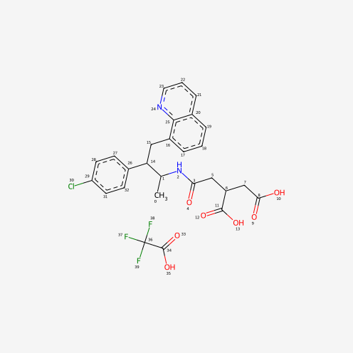 CC(NC(=O)CC(CC(=O)O)C(=O)O)C(Cc1cccc2cccnc12)c1ccc(Cl)cc1.O=C(O)C(F)(F)F